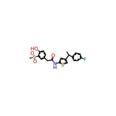 CC(c1ccc(F)cc1)c1csc(NC(=O)Cc2ccc(O)c(S(C)(=O)=O)c2)c1